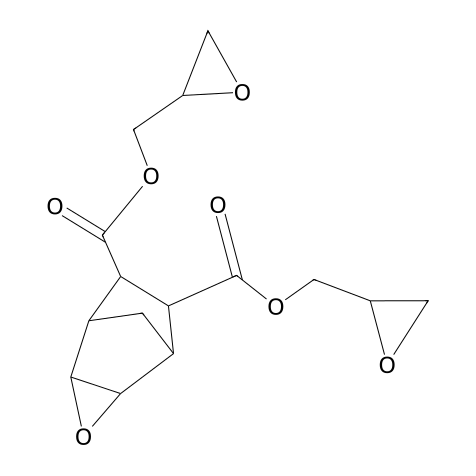 O=C(OCC1CO1)C1C2CC(C3OC23)C1C(=O)OCC1CO1